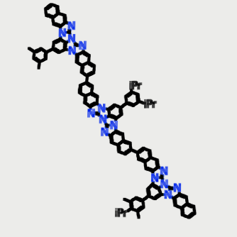 Cc1cc(C)cc(-c2cc3c4c(c2)n2c5cc6cc(-c7ccc8cc9nc%10n(c9cc8c7)c7cc(-c8cc(C(C)C)cc(C(C)C)c8)cc8c7n%10c7nc9cc%10ccc(-c%11ccc%12cc%13nc%14n(c%13cc%12c%11)c%11cc(-c%12cc(C)c(C(C)C)c(C)c%12)cc%12c%11n%14c%11nc%13cc%14ccccc%14cc%13n%12%11)cc%10cc9n87)ccc6cc5nc2n4c2nc4cc5ccccc5cc4n32)c1